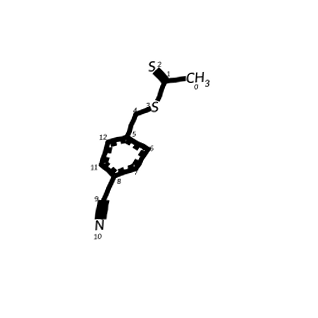 CC(=S)SCc1ccc(C#N)cc1